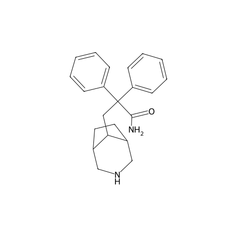 NC(=O)C(CC1C2CCC1CNC2)(c1ccccc1)c1ccccc1